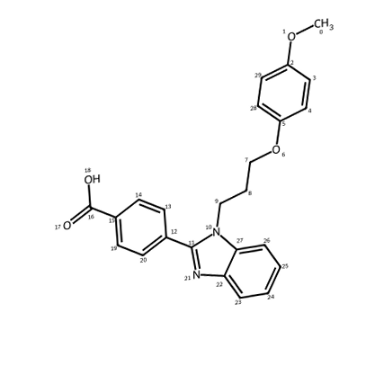 COc1ccc(OCCCn2c(-c3ccc(C(=O)O)cc3)nc3ccccc32)cc1